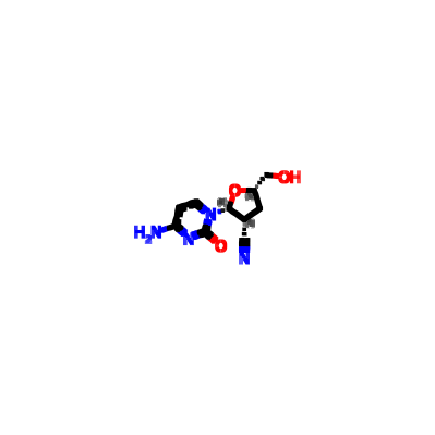 N#C[C@H]1C[C@@H](CO)O[C@H]1n1ccc(N)nc1=O